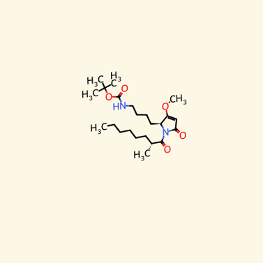 CCCCCC[C@@H](C)C(=O)N1C(=O)C=C(OC)[C@@H]1CCCCNC(=O)OC(C)(C)C